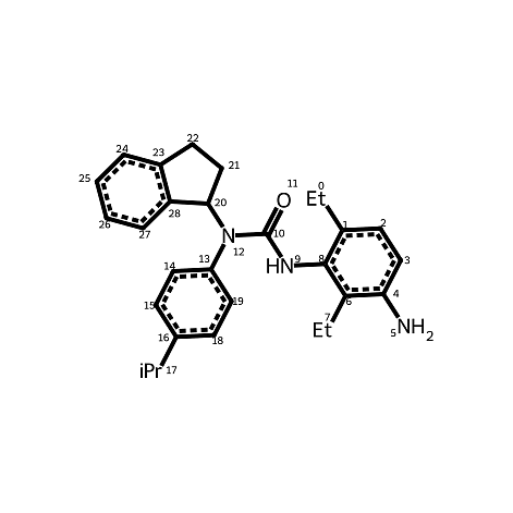 CCc1ccc(N)c(CC)c1NC(=O)N(c1ccc(C(C)C)cc1)C1CCc2ccccc21